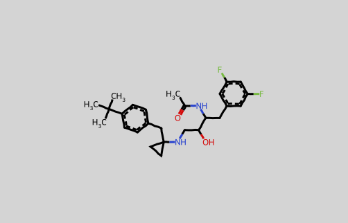 CC(=O)NC(Cc1cc(F)cc(F)c1)C(O)CNC1(Cc2ccc(C(C)(C)C)cc2)CC1